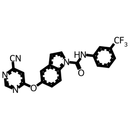 N#Cc1cc(Oc2ccc3c(ccn3C(=O)Nc3cccc(C(F)(F)F)c3)c2)ncn1